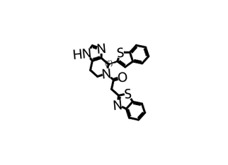 O=C(Cc1nc2ccccc2s1)N1CCc2[nH]cnc2[C@H]1c1cc2ccccc2s1